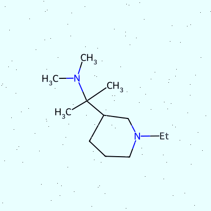 CCN1CCCC(C(C)(C)N(C)C)C1